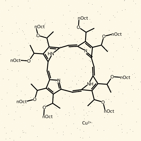 CCCCCCCCOC(C)C1=C(C(C)OCCCCCCCC)c2cc3[nH]c(cc4nc(cc5[nH]c(cc1n2)c(C(C)OCCCCCCCC)c5C(C)OCCCCCCCC)C(C(C)OCCCCCCCC)=C4C(C)OCCCCCCCC)c(C(C)OCCCCCCCC)c3C(C)OCCCCCCCC.[Cu+2]